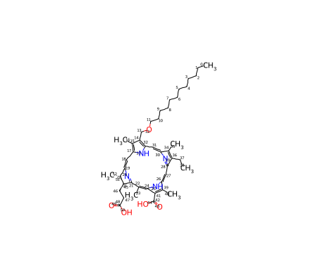 CCCCCCCCCCCCOCc1c(C)c2cc3nc(c(C)c4[nH]c(cc5nc(cc1[nH]2)C(C)=C5CC)c(C)c4C(=O)O)[C@@H](CCC(=O)O)[C@@H]3C